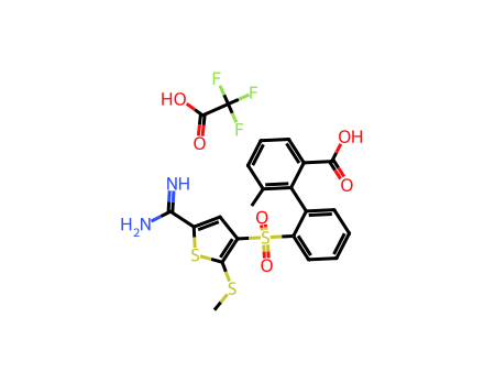 CSc1sc(C(=N)N)cc1S(=O)(=O)c1ccccc1-c1c(C)cccc1C(=O)O.O=C(O)C(F)(F)F